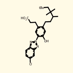 CC(CCc1cc(O)c(-n2nc3ccc(Cl)cc3n2)cc1CCC(=O)O)C(C)(C)CC(C)(C)C